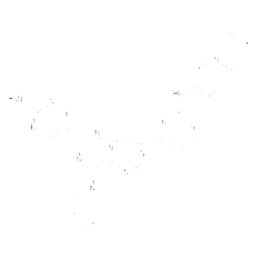 Nc1ncc(-c2nc(N3CCOCC3)c3ncc(-c4cccc(NC(=O)CN5CCOCC5)c4)cc3n2)cn1